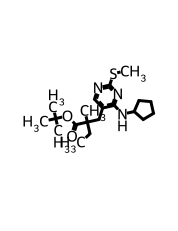 CCC(C)(Cc1cnc(SC)nc1NC1CCCC1)C(=O)OC(C)(C)C